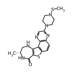 CSN1CCN(c2cnc3c(ccc4sc5c(c43)NC[C@@H](C)NC5=O)n2)CC1